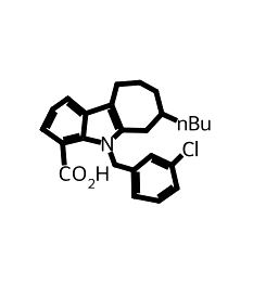 CCCCC1CCCc2c(n(Cc3cccc(Cl)c3)c3c(C(=O)O)cccc23)C1